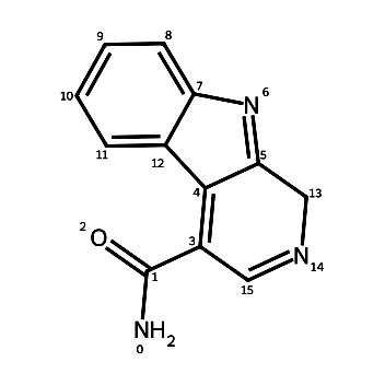 NC(=O)C1=C2C(=Nc3ccccc32)CN=C1